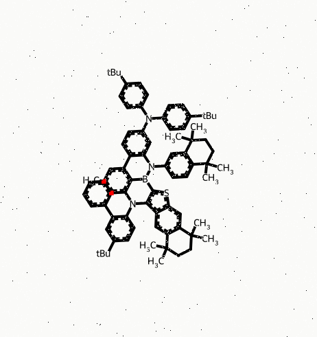 Cc1cc2c3c(c1)N(c1ccc(C(C)(C)C)cc1-c1ccccc1)c1c(sc4cc5c(cc14)C(C)(C)CCC5(C)C)B3N(c1ccc3c(c1)C(C)(C)CCC3(C)C)c1cc(N(c3ccc(C(C)(C)C)cc3)c3ccc(C(C)(C)C)cc3)ccc1-2